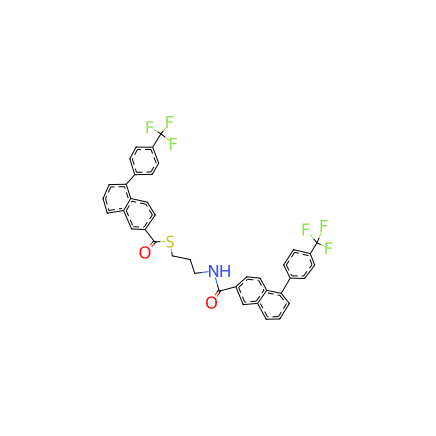 O=C(NCCCSC(=O)c1ccc2c(-c3ccc(C(F)(F)F)cc3)cccc2c1)c1ccc2c(-c3ccc(C(F)(F)F)cc3)cccc2c1